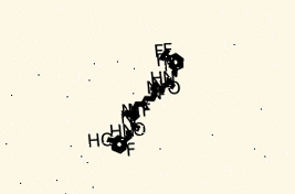 O=C(NCc1cccc(C(F)(F)F)n1)c1cn(CCC(F)Cn2cc(C(=O)NCc3cc(O)ccc3F)nn2)nn1